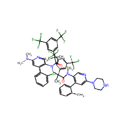 Cc1ccccc1-c1cc(N2CCNCC2)ncc1N(C)C(=O)C(C)(CN(C(=O)C(C)(C)c1cc(C(F)(F)F)cc(C(F)(F)F)c1)c1cnc(N(C)C)cc1-c1ccccc1Cl)c1cc(C(F)(F)F)cc(C(F)(F)F)c1